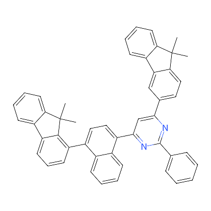 CC1(C)c2ccccc2-c2cc(-c3cc(-c4ccc(-c5cccc6c5C(C)(C)c5ccccc5-6)c5ccccc45)nc(-c4ccccc4)n3)ccc21